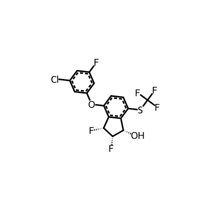 O[C@H]1c2c(SC(F)(F)F)ccc(Oc3cc(F)cc(Cl)c3)c2[C@@H](F)[C@H]1F